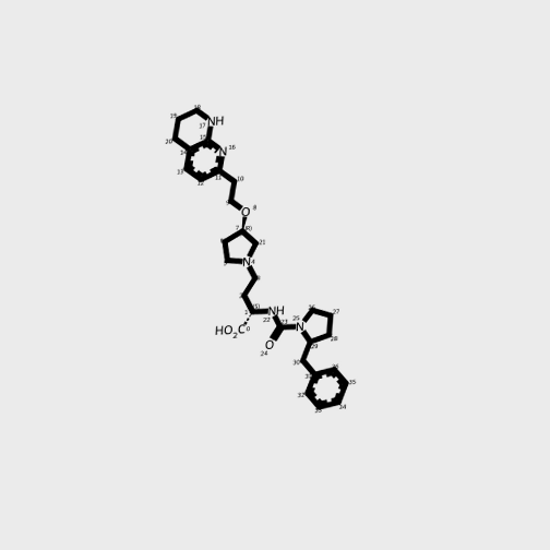 O=C(O)[C@H](CCN1CC[C@@H](OCCc2ccc3c(n2)NCCC3)C1)NC(=O)N1CCCC1Cc1ccccc1